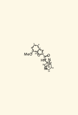 COc1cccc2cc(C(=O)N[C@H]3CN4CCC3CC4)oc12